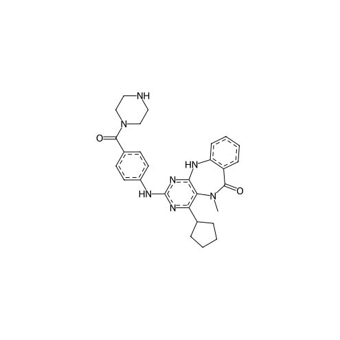 CN1C(=O)c2ccccc2Nc2nc(Nc3ccc(C(=O)N4CCNCC4)cc3)nc(C3CCCC3)c21